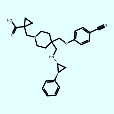 N#Cc1ccc(OCC2(CN[C@@H]3C[C@H]3c3ccccc3)CCN(CC3(C(=O)O)CC3)CC2)cc1